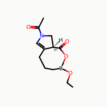 CCOB1CCCC2=CN(C(C)=O)C[C@H]2C(=O)O1